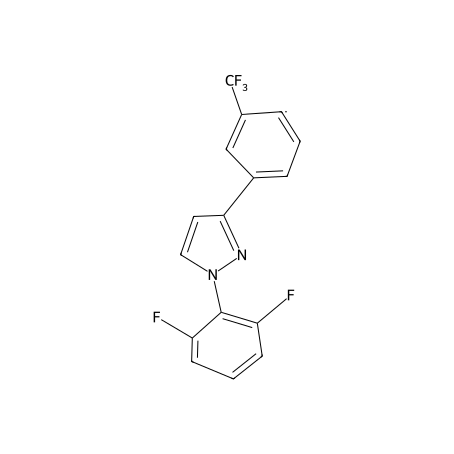 Fc1cccc(F)c1-n1ccc(-c2cc[c]c(C(F)(F)F)c2)n1